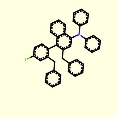 Fc1ccc(-c2c(Cc3ccccc3)cc(N(c3ccccc3)c3ccccc3)c3ccccc23)c(Cc2ccccc2)c1